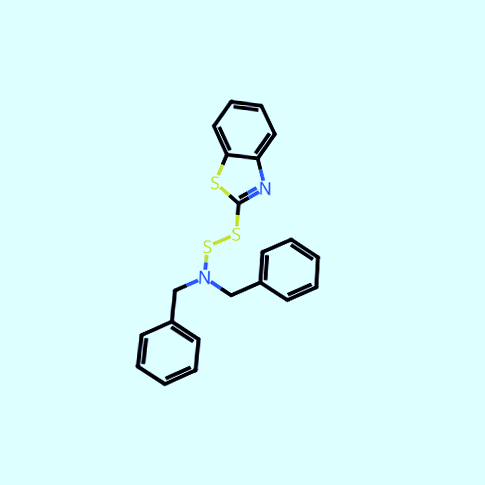 c1ccc(CN(Cc2ccccc2)SSc2nc3ccccc3s2)cc1